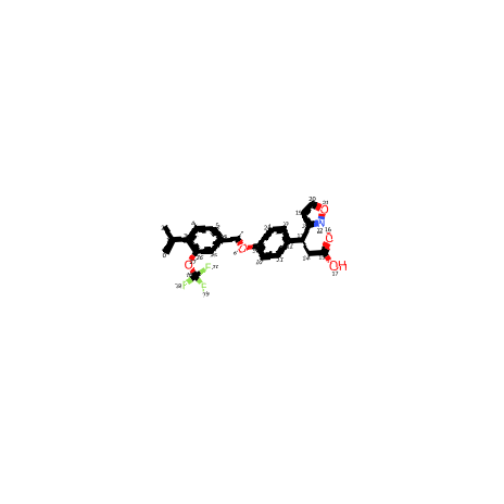 C=C(C)c1ccc(COc2ccc([C@H](CC(=O)O)c3ccon3)cc2)cc1OC(F)(F)F